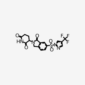 O=C1CCC(N2Cc3ccc(S(=O)(=O)n4cc(C(F)(F)F)cn4)cc3C2=O)C(=O)N1